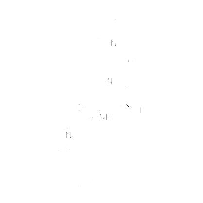 C[C@@H]1CN(CC(=O)N2CCCC2)C[C@H]1NC(=O)c1cc(C2CC2)on1